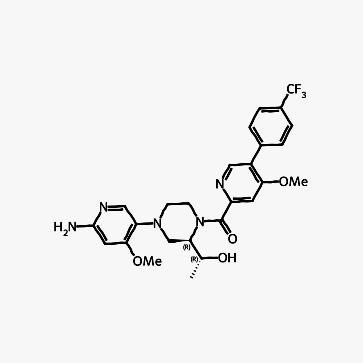 COc1cc(C(=O)N2CCN(c3cnc(N)cc3OC)C[C@@H]2[C@@H](C)O)ncc1-c1ccc(C(F)(F)F)cc1